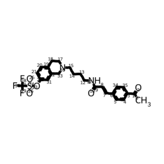 CC(=O)c1ccc(C=CC(=O)NCCCCN2CCc3ccc(OS(=O)(=O)C(F)(F)F)cc3C2)cc1